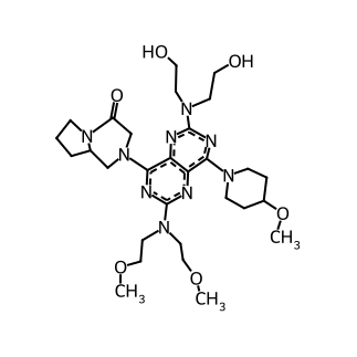 COCCN(CCOC)c1nc(N2CC(=O)N3CCCC3C2)c2nc(N(CCO)CCO)nc(N3CCC(OC)CC3)c2n1